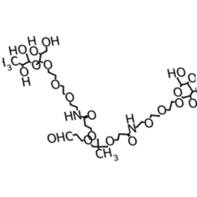 CC(O)C(CO)OC(OCCOCCOCCNC(=O)CCOCC(C)(COCCC=O)COCCC(=O)NCCOCCOCCOC1OC(CO)C(O)C(O)C1O)C(O)CO